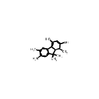 Cc1cc2c(cc1N)C(C)(C)C1C2=C(O)C=C(O)C1C